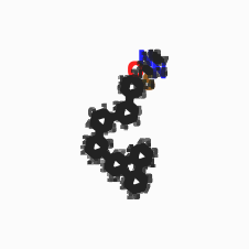 c1cc(-c2cccc(-c3ccc4c(c3)Sc3nccnc3O4)c2)cc(-c2cccc(-c3ccc4c5ccccc5c5ccccc5c4c3)c2)c1